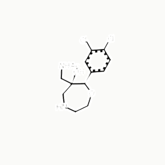 CC(=O)NC[C@@]1(O)CNCCO[C@@H]1c1ccc(Cl)c(Cl)c1